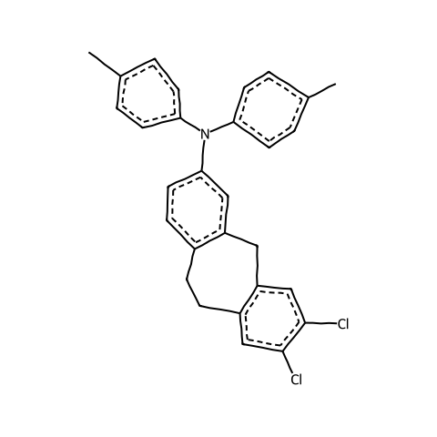 Cc1ccc(N(c2ccc(C)cc2)c2ccc3c(c2)Cc2cc(Cl)c(Cl)cc2CC3)cc1